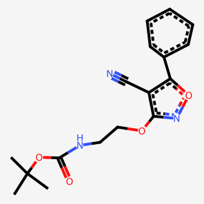 CC(C)(C)OC(=O)NCCOc1noc(-c2ccccc2)c1C#N